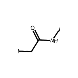 O=C(CI)NI